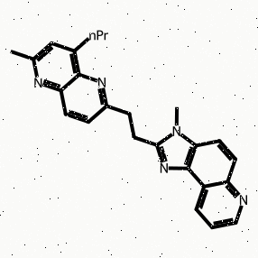 CCCc1cc(C)nc2ccc(CCc3nc4c5cccnc5ccc4n3C)nc12